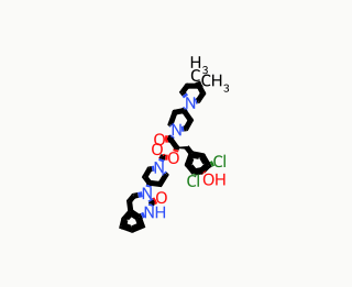 CC1(C)CCN(C2CCN(C(=O)[C@@H](Cc3cc(Cl)c(O)c(Cl)c3)OC(=O)N3CCC(N4CCc5ccccc5NC4=O)CC3)CC2)CC1